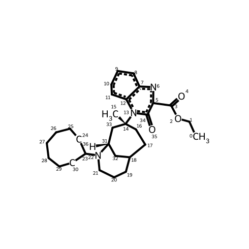 CCOC(=O)c1nc2ccccc2n([C@]2(C)CCC3CCCN(C4CCCCCCC4)[C@@H](C3)C2)c1=O